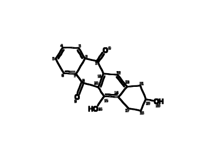 O=C1c2ccccc2C(=O)c2c1cc1c(c2O)CCC(O)C1